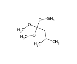 COC(CC(C)C)(OC)O[SiH3]